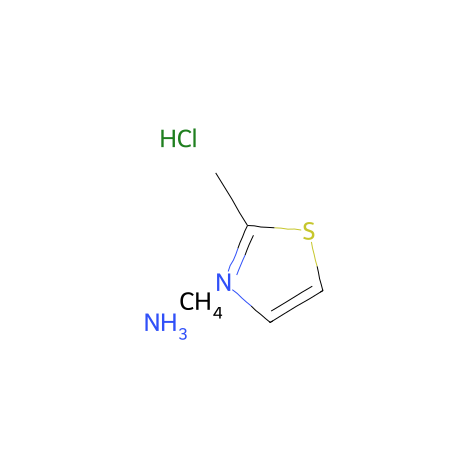 C.Cc1nccs1.Cl.N